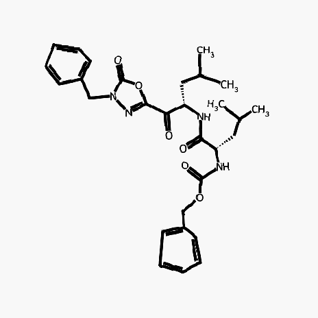 CC(C)C[C@H](NC(=O)OCc1ccccc1)C(=O)N[C@@H](CC(C)C)C(=O)c1nn(Cc2ccccc2)c(=O)o1